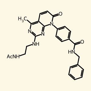 CC(=O)NCCNc1nc(C)c2ccc(=O)n(-c3ccc(C(=O)NCc4ccccc4)cc3)c2n1